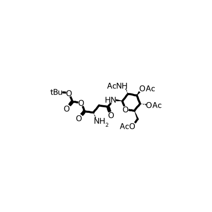 CC(=O)N[C@@H]1[C@@H](OC(C)=O)[C@H](OC(C)=O)[C@@H](COC(C)=O)O[C@H]1NC(=O)C[C@H](N)C(=O)OC(=O)OC(C)(C)C